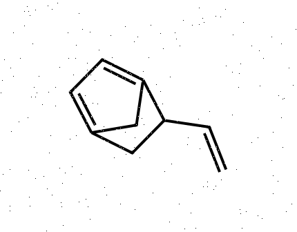 C=CC1CC2=CC=C1C2